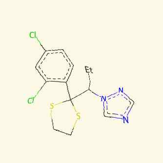 CCC(n1cncn1)C1(c2ccc(Cl)cc2Cl)SCCS1